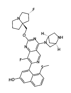 CSc1cccc2cc(O)cc(-c3ncc4c(N5C[C@H]6C[C@@H]5CN6)nc(OC[C@@]56CCCN5C[C@H](F)C6)nc4c3F)c12